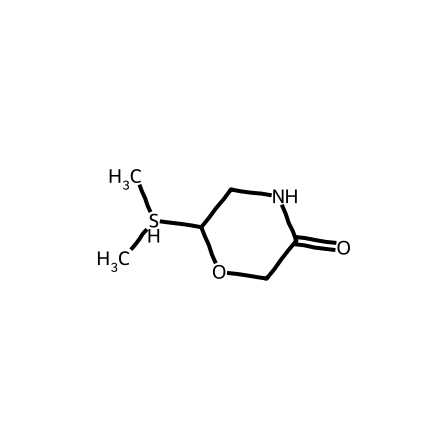 C[SH](C)C1CNC(=O)CO1